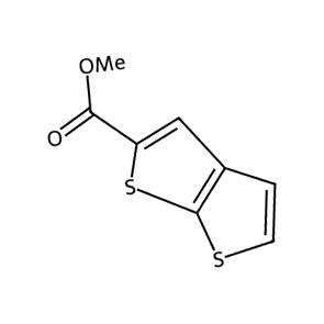 COC(=O)c1cc2ccsc2s1